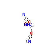 N#Cc1ccc(S(=O)(=O)NN2CCCC2CCCOc2ccc(-c3ccccn3)cc2)cc1